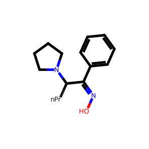 CCCC(C(=NO)c1ccccc1)N1CCCC1